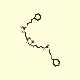 CCCNP(=O)(OCCCOC(=O)OCCCc1ccccc1)OCCCOC(=O)OCCCc1ccccc1